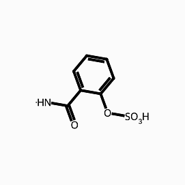 [NH]C(=O)c1ccccc1OS(=O)(=O)O